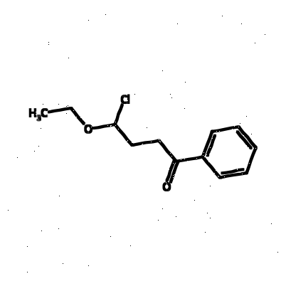 CCOC(Cl)CCC(=O)c1ccccc1